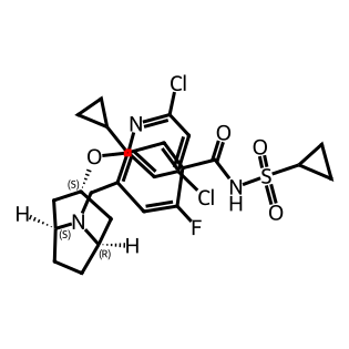 O=C(NS(=O)(=O)C1CC1)c1cc(C2CC2)c(CN2[C@@H]3CC[C@H]2C[C@H](Oc2cc(Cl)cc(Cl)n2)C3)cc1F